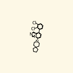 Clc1cccc(-c2ccc(N3CCC4(CCCC4)CC3)n3cncc23)c1Cl